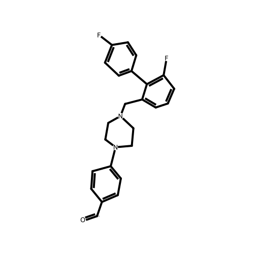 O=[C]c1ccc(N2CCN(Cc3cccc(F)c3-c3ccc(F)cc3)CC2)cc1